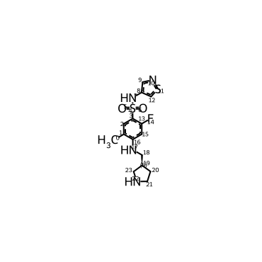 Cc1cc(S(=O)(=O)Nc2cnsc2)c(F)cc1NC[C@H]1CCNC1